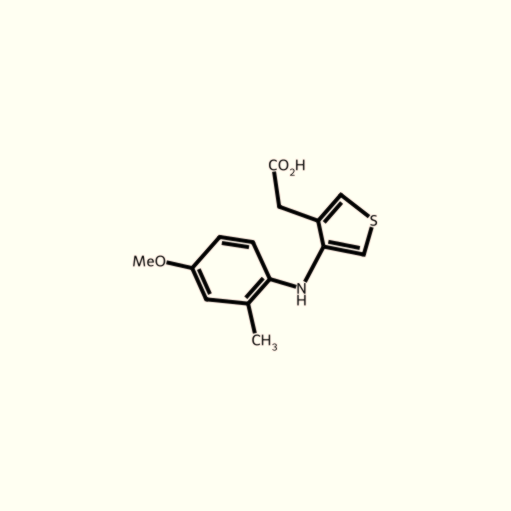 COc1ccc(Nc2cscc2CC(=O)O)c(C)c1